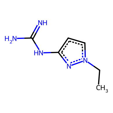 CCn1ccc(NC(=N)N)n1